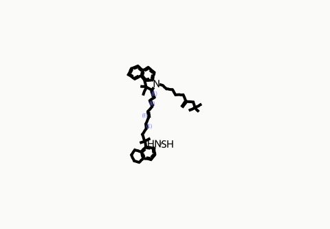 C=C(CCCCCN1/C(=C/C=C/C=C/C=C/CC(C)(C)c2c(NS)ccc3c2CCCC3)C(C)(C)c2c1ccc1ccccc21)CC(C)(C)C